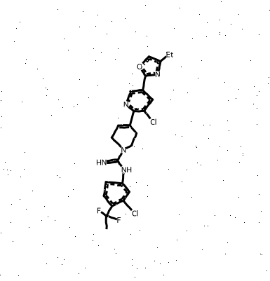 CCc1coc(-c2cnc(C3=CCN(C(=N)Nc4ccc(C(C)(F)F)c(Cl)c4)CC3)c(Cl)c2)n1